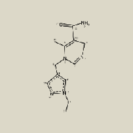 CCn1cc(CN2C=NCC(C(N)=O)=C2C)cn1